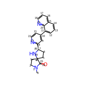 CN1CC[C@@]2(CC[C@H](c3cc(-c4cccc5cccnc45)ccn3)N2)C1=O